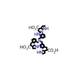 O=C(O)C(Cc1cccc(CN(Cc2cccc(CC(C(=O)O)C3CCNC3)c2)Cc2cccc3nc(CC(C(=O)O)C4CCNC4)[nH]c23)c1)C1CCNC1